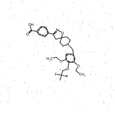 CCOc1cc(CN2CCC3(CC2)CC(c2ccc(C(=O)O)cc2)=NO3)cc(OCC)c1OCC(F)(F)F